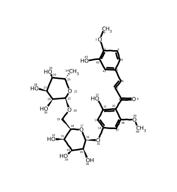 COc1ccc(/C=C/C(=O)c2c(O)cc(O[C@@H]3O[C@H](CO[C@@H]4O[C@@H](C)[C@H](O)[C@H](O)[C@@H]4O)[C@H](O)[C@H](O)[C@@H]3O)cc2OC)cc1O